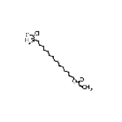 C=CC(=O)OCCCCCCCCCCCCCCC[SiH2]C(Cl)Cl